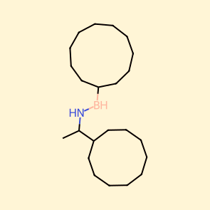 CC(NBC1CCCCCCCCCC1)C1CCCCCCCCC1